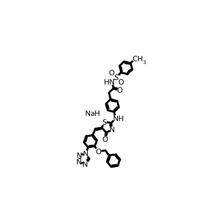 Cc1ccc(S(=O)(=O)NC(=O)Cc2ccc(NC3=NC(=O)/C(=C\c4ccc(-n5cnnn5)c(OCc5ccccc5)c4)S3)cc2)cc1.[NaH]